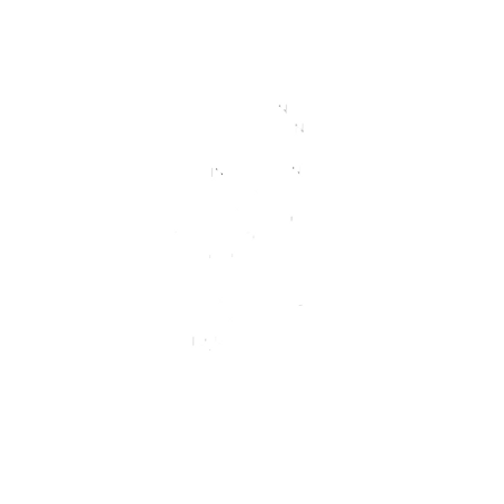 CCc1nc2c(cnn2CC)c(NC2CCOCC2)c1COC(=O)c1cc(Br)cc(C(=O)O)c1